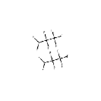 FC(F)C(F)(F)C(F)(F)F.FC(F)C(F)(F)C(F)(F)F